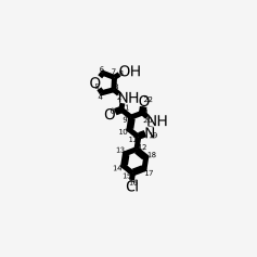 O=C(NC1COCC1O)c1cc(-c2ccc(Cl)cc2)n[nH]c1=O